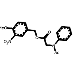 COc1ccc(COC(=O)CN(C(C)=O)c2ccccc2)cc1[N+](=O)[O-]